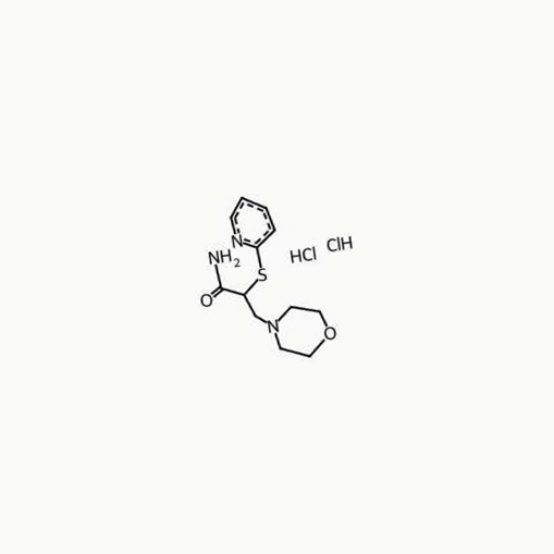 Cl.Cl.NC(=O)C(CN1CCOCC1)Sc1ccccn1